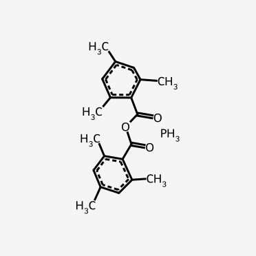 Cc1cc(C)c(C(=O)OC(=O)c2c(C)cc(C)cc2C)c(C)c1.P